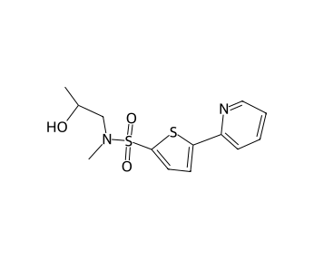 CC(O)CN(C)S(=O)(=O)c1ccc(-c2ccccn2)s1